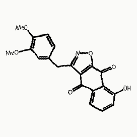 COc1ccc(Cc2noc3c2C(=O)c2cccc(O)c2C3=O)cc1OC